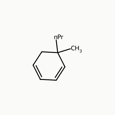 CCCC1(C)C=CC=CC1